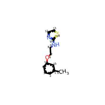 Cc1cccc(OCCNc2nccs2)c1